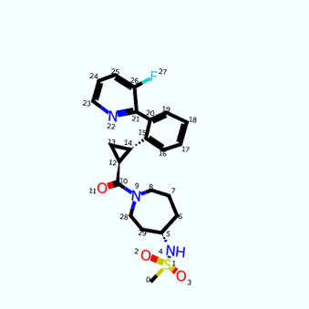 CS(=O)(=O)N[C@H]1CCCN(C(=O)[C@H]2C[C@@H]2c2ccccc2-c2ncccc2F)CC1